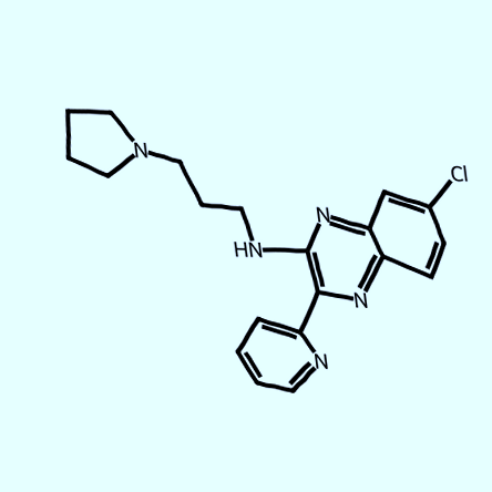 Clc1ccc2nc(-c3ccccn3)c(NCCCN3CCCC3)nc2c1